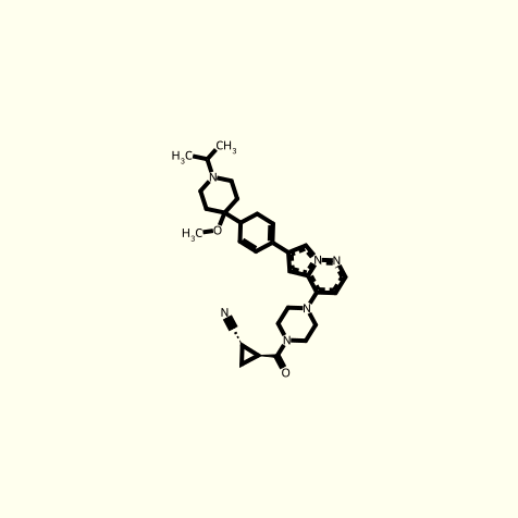 COC1(C2C=CC(c3cc4c(N5CCN(C(=O)[C@H]6C[C@@H]6C#N)CC5)ccnn4c3)=CC2)CCN(C(C)C)CC1